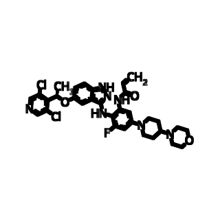 C=CC(=O)Nc1cc(N2CCC(N3CCOCC3)CC2)cc(F)c1Nc1n[nH]c2ccc(O[C@H](C)c3c(Cl)cncc3Cl)cc12